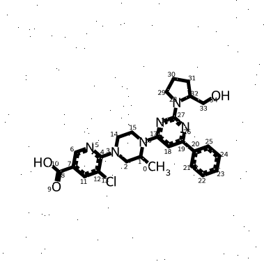 CC1CN(c2ncc(C(=O)O)cc2Cl)CCN1c1cc(-c2ccccc2)nc(N2CCCC2CO)n1